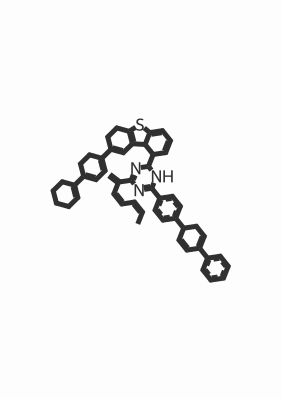 C=C(/C=C\C=C/C)C1=NC(C2C=CC=C3SC4=C(C=C(C5=CC=C(C6=CCCCC6)CC5)CC4)C32)NC(c2ccc(C3C=CC(c4ccccc4)=CC3)cc2)=N1